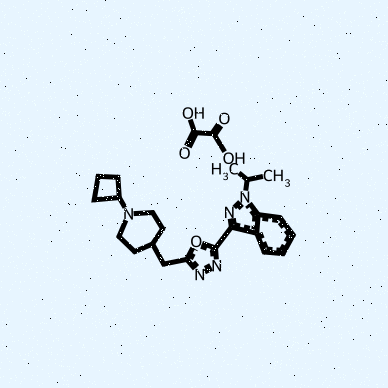 CC(C)n1nc(-c2nnc(CC3CCN(C4CCC4)CC3)o2)c2ccccc21.O=C(O)C(=O)O